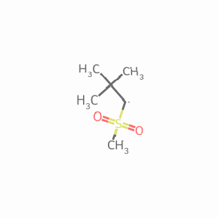 CC(C)(C)[CH]S(C)(=O)=O